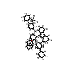 Cc1ccccc1-c1ccc(N(c2ccc3c(c2)C(C)(C)c2ccccc2-3)c2cccc3c2oc2c(-c4nc(-c5ccccc5)nc(-c5ccccc5)n4)cccc23)cc1C